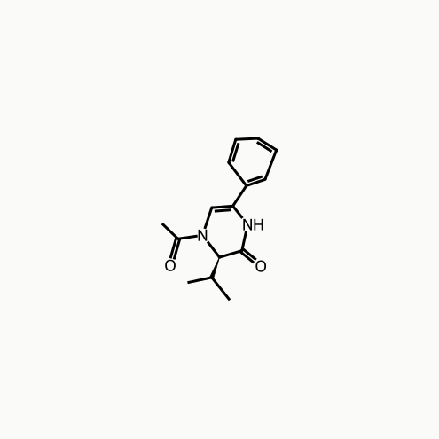 CC(=O)N1C=C(c2ccccc2)NC(=O)[C@H]1C(C)C